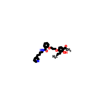 CCCc1c(OCCCOc2ccccc2C(=O)NCCCCc2cccnc2)ccc(C(C)=O)c1O